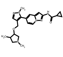 CC1CN(C)CC1OCc1cnn(C)c1-c1ccn2nc(NC(=O)C3CC3)cc2c1